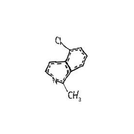 Cc1nccc2c(Cl)cccc12